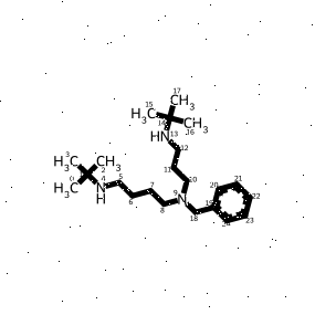 CC(C)(C)NCCCCN(CCCNC(C)(C)C)Cc1ccccc1